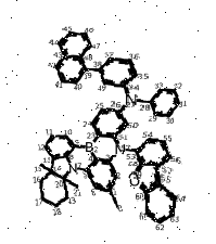 Cc1cc2c3c(c1)N1c4c(cccc4C4(C)CCCCC14C)B3c1ccc(N(c3ccccc3)c3cccc(-c4cccc5ccccc45)c3)cc1N2c1cccc2c1oc1ccccc12